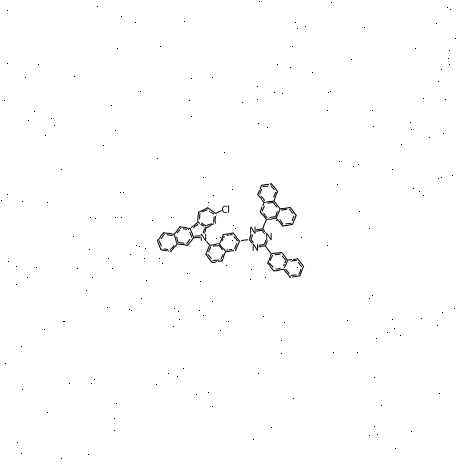 Clc1ccc2c3cc4ccccc4cc3n(-c3cccc4cc(-c5nc(-c6ccc7ccccc7c6)nc(-c6cc7ccccc7c7ccccc67)n5)ccc34)c2c1